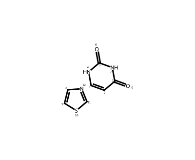 O=c1cc[nH]c(=O)[nH]1.c1cscn1